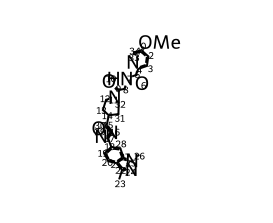 COc1ccc(C(=O)NCC(=O)N2CCC(c3nc(-c4ccc5c(C)nn(C)c5c4)no3)CC2)nc1